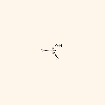 [AsH3].[CH3][Sn][CH3]